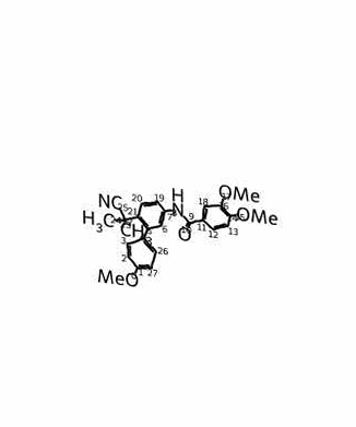 COc1ccc(-c2cc(NC(=O)c3ccc(OC)c(OC)c3)ccc2C(C)(C)C#N)cc1